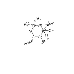 C[CH2][Ti]1[Ti]([NH]C(C)=O)[Ti][Ti]([CH3])([CH3])[Ti][Ti]1([Cl])([Cl])[NH]C(C)=O